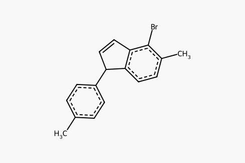 Cc1ccc(C2C=Cc3c2ccc(C)c3Br)cc1